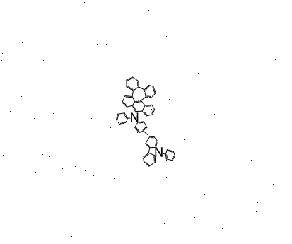 c1ccc(N(c2ccc(-c3ccc4c(c3)c3ccccc3n4-c3ccccc3)cc2)c2c3ccccc3c3c4c(cccc24)-c2ccccc2-c2ccccc2-3)cc1